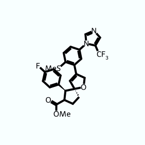 COC(=O)C1CC[C@@]2(C=C(c3cc(-n4cncc4C(F)(F)F)ccc3SC)CO2)[C@@H]1c1ccc(F)cc1